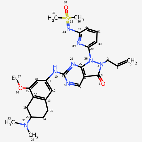 C=CCn1c(=O)c2cnc(Nc3cc4c(c(OCC)c3)CC(N(C)C)CC4)nc2n1-c1cccc(N=S(C)(C)=O)n1